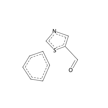 O=Cc1cncs1.c1ccccc1